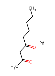 CCCCCC(=O)CC(C)=O.[Pd]